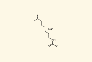 CC(C)CCCCCCNC(=S)[S-].[Na+]